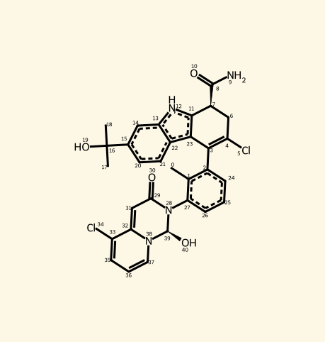 Cc1c(C2=C(Cl)C[C@H](C(N)=O)c3[nH]c4cc(C(C)(C)O)ccc4c32)cccc1N1C(=O)C=C2C(Cl)=CC=CN2[C@@H]1O